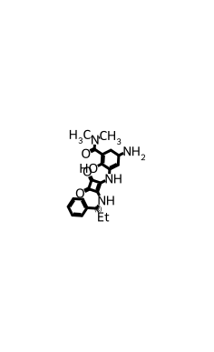 CC[C@@H](Nc1c(NC2=CC(N)CC(C(=O)N(C)C)=C2O)c(=O)c1=O)c1ccccc1